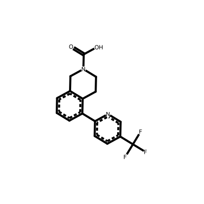 O=C(O)N1CCc2c(cccc2-c2ccc(C(F)(F)F)cn2)C1